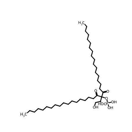 CCCCCCCCCCCCCCCCCC(=O)C(OP(=O)(O)O)(C(=O)CCCCCCCCCCCCCCCCC)C(O)CO